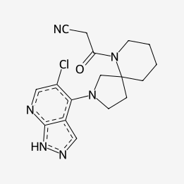 N#CCC(=O)N1CCCCC12CCN(c1c(Cl)cnc3[nH]ncc13)C2